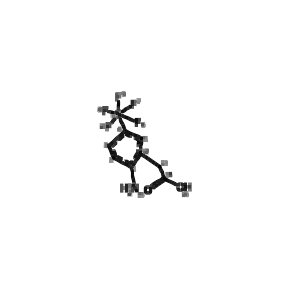 Nc1ccc(S(F)(F)(F)(F)F)cc1CC(=O)O